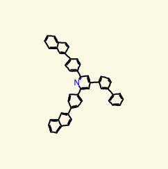 c1ccc(-c2cccc(-c3cc(-c4ccc(-c5ccc6ccccc6c5)cc4)nc(-c4ccc(-c5ccc6ccccc6c5)cc4)c3)c2)cc1